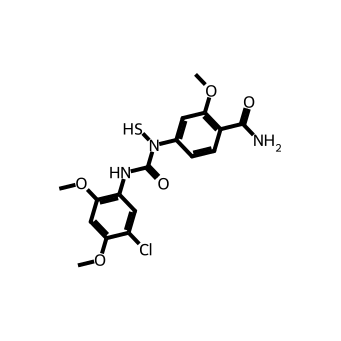 COc1cc(OC)c(NC(=O)N(S)c2ccc(C(N)=O)c(OC)c2)cc1Cl